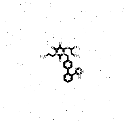 CCCn1c(=O)c(Cl)c(SC(C)CC)n(Cc2ccc(-c3ccccc3-c3nnn[nH]3)cc2)c1=O